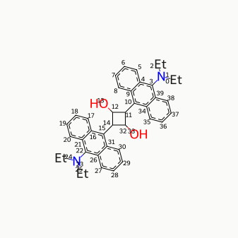 CCN(CC)c1c2ccccc2c(C2C(O)C(c3c4ccccc4c(N(CC)CC)c4ccccc34)C2O)c2ccccc12